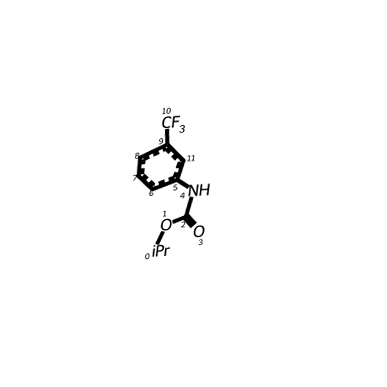 CC(C)OC(=O)Nc1cccc(C(F)(F)F)c1